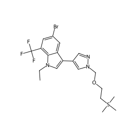 CCn1cc(-c2cnn(COCCS(C)(C)C)c2)c2cc(Br)cc(C(F)(F)F)c21